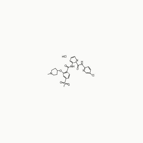 CN1CCC(Oc2cc(S(C)(=O)=O)ccc2C(=O)Nc2cccnc2C(=O)Nc2ccc(Cl)cn2)CC1.Cl